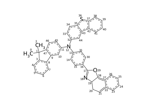 CC1(C)c2ccccc2-c2cc(N(c3ccc(C4=NC5CC=c6ccccc6=C5O4)cc3)c3ccc4sc5ccccc5c4c3)ccc21